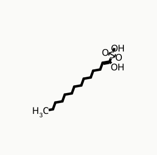 CCCCCCCCCCCC/C=C(\O)S(=O)(=O)O